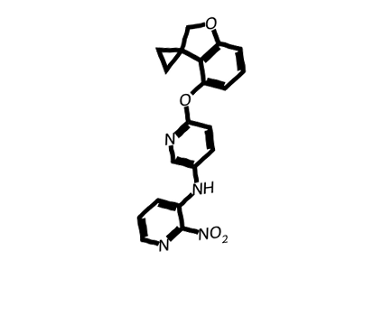 O=[N+]([O-])c1ncccc1Nc1ccc(Oc2cccc3c2C2(CC2)CO3)nc1